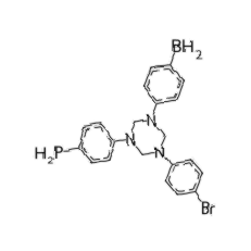 Bc1ccc(N2CN(c3ccc(P)cc3)CN(c3ccc(Br)cc3)C2)cc1